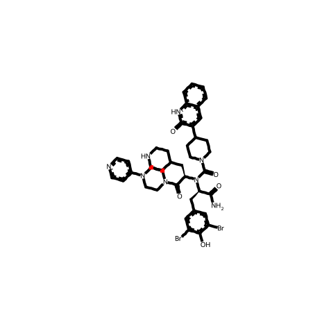 NC(=O)[C@@H](Cc1cc(Br)c(O)c(Br)c1)N(C(=O)N1CCC(c2cc3ccccc3[nH]c2=O)CC1)[C@H](CC1CCNCC1)C(=O)N1CCN(c2ccncc2)CC1